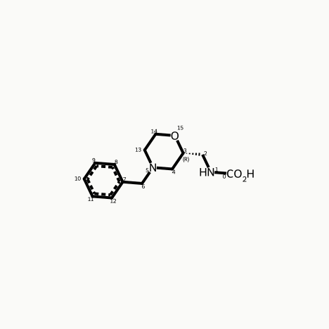 O=C(O)NC[C@@H]1CN(Cc2ccccc2)CCO1